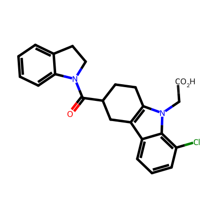 O=C(O)Cn1c2c(c3cccc(Cl)c31)CC(C(=O)N1CCc3ccccc31)CC2